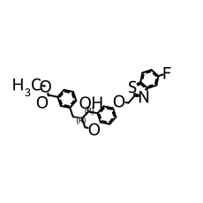 COC(=O)c1cccc(C[C@@H]2COc3ccc(OCc4nc5cc(F)ccc5s4)cc3[C@@H]2O)c1